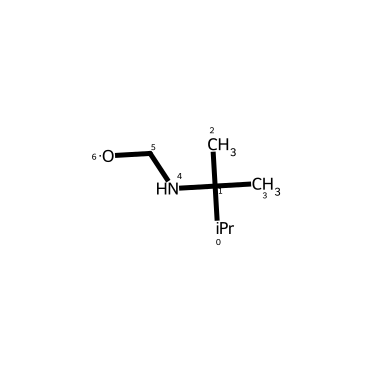 CC(C)C(C)(C)NC[O]